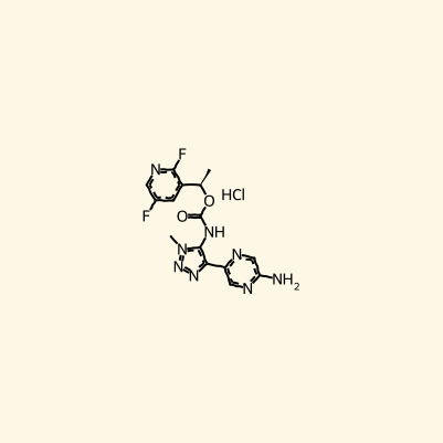 C[C@@H](OC(=O)Nc1c(-c2cnc(N)cn2)nnn1C)c1cc(F)cnc1F.Cl